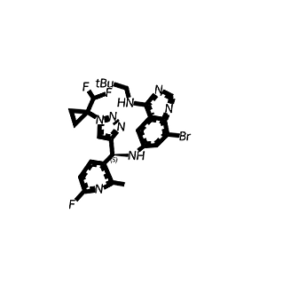 Cc1nc(F)ccc1[C@H](Nc1cc(Br)c2ncnc(NCC(C)(C)C)c2c1)c1cn(C2(C(F)F)CC2)nn1